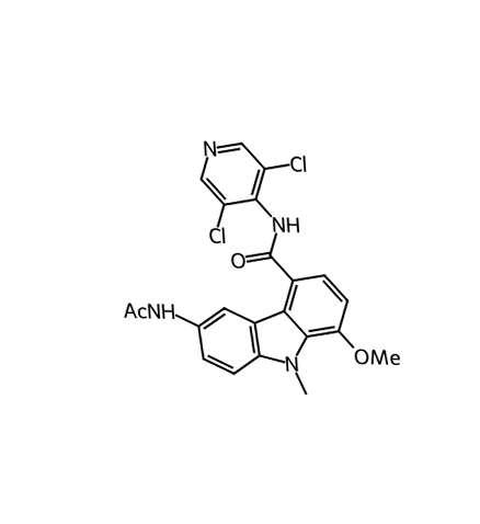 COc1ccc(C(=O)Nc2c(Cl)cncc2Cl)c2c3cc(NC(C)=O)ccc3n(C)c12